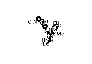 COc1c(Nc2cc(C)[nH]n2)nc(Sc2ccc(S(=O)(=O)Cc3cccc([N+](=O)[O-])c3)cc2)nc1N1CCO[C@H](C)C1